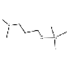 C[Si](C)CCCO[Si](C)(C)C